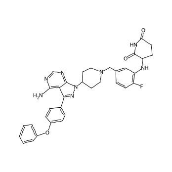 Nc1ncnc2c1c(-c1ccc(Oc3ccccc3)cc1)nn2C1CCN(Cc2ccc(F)c(NC3CCC(=O)NC3=O)c2)CC1